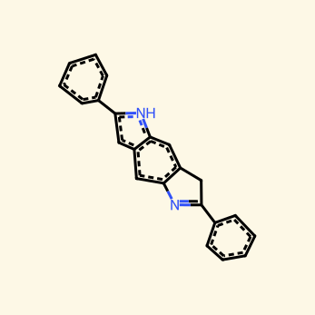 c1ccc(C2=Nc3cc4cc(-c5ccccc5)[nH]c4cc3C2)cc1